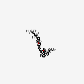 COC(=O)N[C@H]1CCC[C@@H]1[C@](CN1CCC1)(c1cccc(F)c1)C1CCN(CC2CN(c3ccc(S(=O)(=O)c4cccc(NC(=O)/C=C/CN(C)C)c4)cc3)C2)CC1